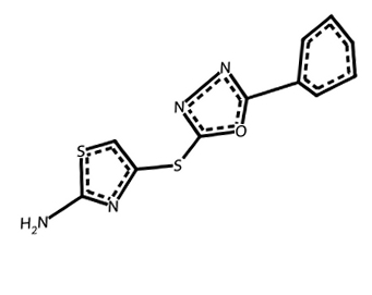 Nc1nc(Sc2nnc(-c3ccccc3)o2)cs1